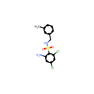 Cc1cccc(CNS(=O)(=O)c2c(N)cc(Cl)cc2Cl)c1